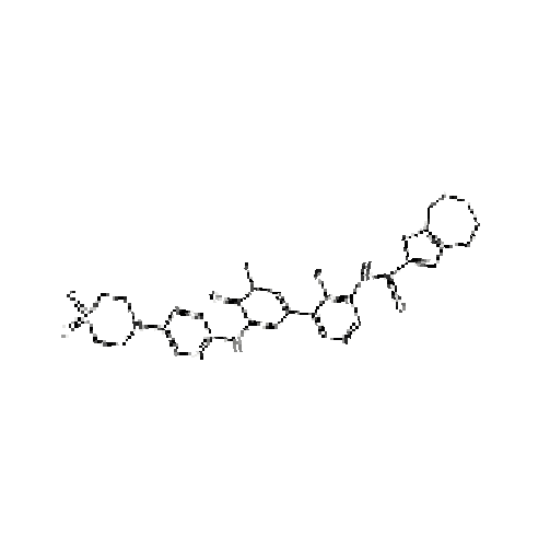 Cn1cc(-c2cccc(NC(=O)c3cc4c(s3)CCCCC4)c2F)cc(Nc2ccc(N3CCS(=O)(=O)CC3)cn2)c1=O